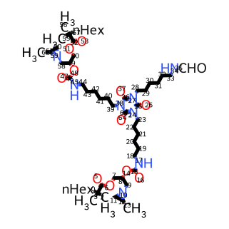 CCCCCCC(C)(C)C(=O)OCC(CN1CC1C)OC(=O)NCCCCCCn1c(=O)n(CCCCCCNC=O)c(=O)n(CCCCCCNC(=O)OC(COC(=O)C(C)(C)CCCCCC)CN2CC2C)c1=O